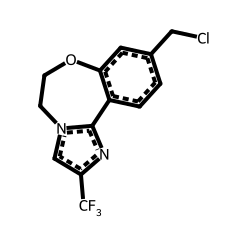 FC(F)(F)c1cn2c(n1)-c1ccc(CCl)cc1OCC2